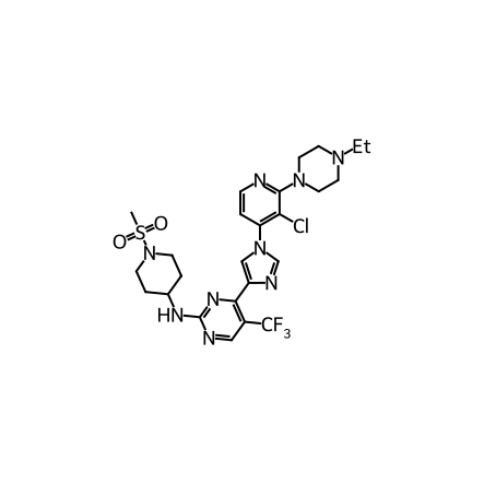 CCN1CCN(c2nccc(-n3cnc(-c4nc(NC5CCN(S(C)(=O)=O)CC5)ncc4C(F)(F)F)c3)c2Cl)CC1